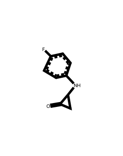 O=C1CC1Nc1ccc(F)cc1